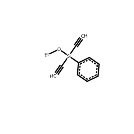 C#C[Si](C#C)(OCC)c1ccccc1